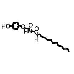 CCCCCCCCCCCCNC(=O)NC(=O)COc1ccc(O)cc1